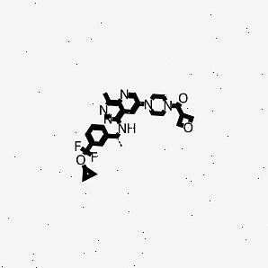 Cc1nnc(N[C@H](C)c2cccc(C(F)(F)OC3CC3)c2)c2cc(N3CCN(C(=O)C4COC4)CC3)cnc12